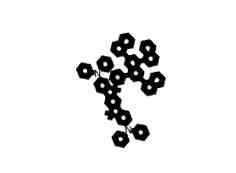 CC1(C)c2cc(N(c3ccccc3)c3ccccc3)ccc2-c2cc3c(cc21)-c1ccc(N(c2ccccc2)c2ccccc2)cc1C3(C)c1cccc(-c2cc(-c3cccc4ccccc34)cc3c(-c4cccc5ccccc45)cc(-c4cccc5ccccc45)cc23)c1